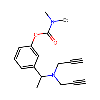 C#CCN(CC#C)C(C)c1cccc(OC(=O)N(C)CC)c1